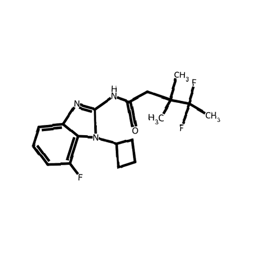 CC(F)(F)C(C)(C)CC(=O)Nc1nc2cccc(F)c2n1C1CCC1